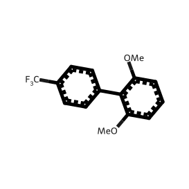 COc1cccc(OC)c1-c1ccc(C(F)(F)F)cc1